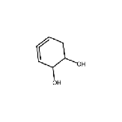 OC1C=C=CCC1O